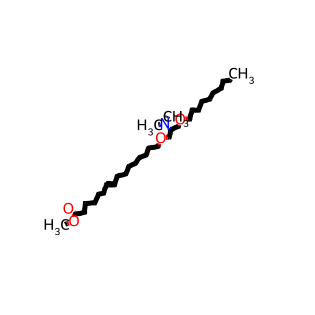 CCCCCCCCCCOCC(COCCCCCCCCC=CCCCCCC(=O)OC)N(C)C